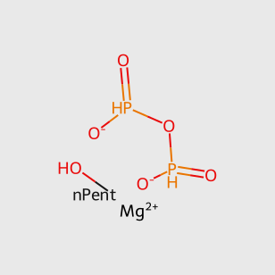 CCCCCO.O=[PH]([O-])O[PH](=O)[O-].[Mg+2]